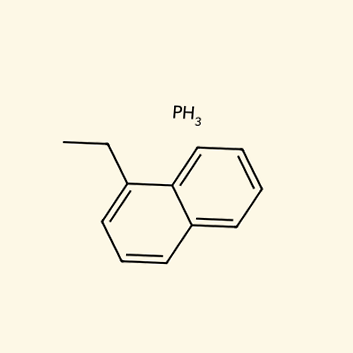 CCc1cccc2ccccc12.P